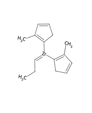 CC[CH]=[Zr]([C]1=C(C)C=CC1)[C]1=C(C)C=CC1